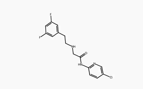 O=C(CNCCc1cc(F)cc(F)c1)Nc1ccc(Cl)cn1